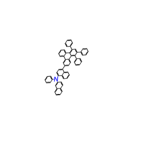 c1ccc(-c2cc(-c3ccccc3)c3c4ccccc4c4cc(-c5ccc(N(c6ccccc6)c6ccc7ccccc7c6)c6ccccc56)ccc4c3c2-c2ccccc2)cc1